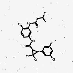 CC(CC(=O)Nc1cc(NC(=O)C2C(c3cc(Cl)cc(Cl)c3)C2(Cl)Cl)ccc1Cl)C(F)(F)F